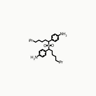 CC(C)CCCCC(c1ccc(N)cc1)S(=O)(=O)C(CCCCC(C)C)c1ccc(N)cc1